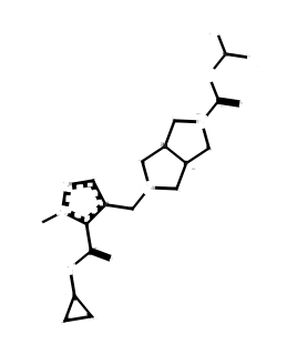 CCn1ncc(CN2CC3CN(C(=O)OC(C(F)(F)F)C(F)(F)F)CC3C2)c1C(=O)NC1CC1